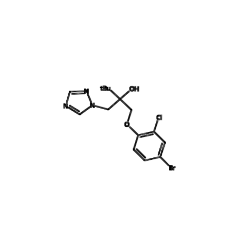 CC(C)(C)C(O)(COc1ccc(Br)cc1Cl)Cn1cncn1